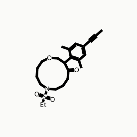 CC#Cc1cc(C)c(C2COCCCCN(S(=O)(=O)CC)CCCC2=O)c(C)c1